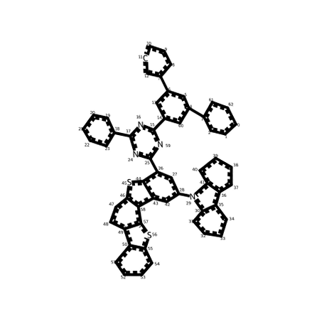 c1ccc(-c2cc(-c3ccccc3)cc(-c3nc(-c4ccccc4)nc(-c4cc(-n5c6ccccc6c6ccccc65)cc5c4sc4ccc6c7ccccc7sc6c45)n3)c2)cc1